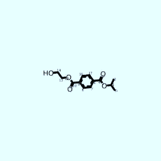 CC(C)OC(=O)c1ccc(C(=O)OCCO)cc1